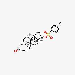 Cc1ccc(S(=O)(=O)O[C@H]2CC[C@H]3[C@@H]4CCC5CC(=O)CC[C@]5(C)[C@H]4CC[C@]23C)cc1